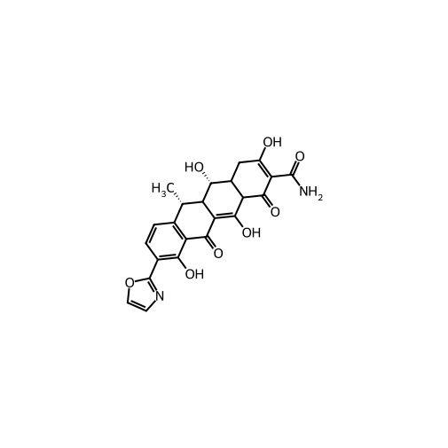 C[C@H]1c2ccc(-c3ncco3)c(O)c2C(=O)C2=C(O)C3C(=O)C(C(N)=O)=C(O)CC3[C@@H](O)C21